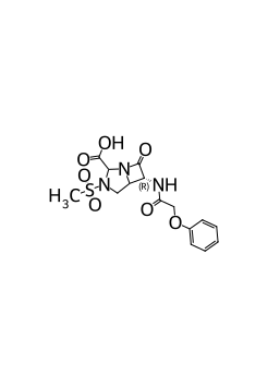 CS(=O)(=O)N1CC2[C@@H](NC(=O)COc3ccccc3)C(=O)N2C1C(=O)O